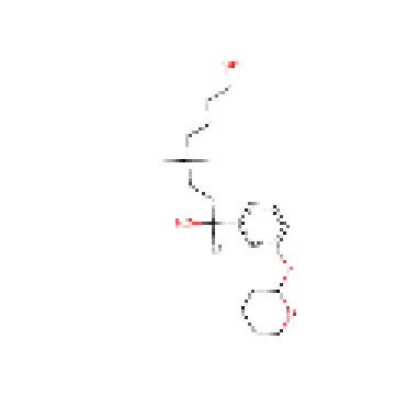 CCC(O)(CCC(C)(C)CCCCO)c1cccc(OC2CCCCO2)c1